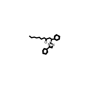 CCCCCCCC(=O)CC(c1ccccc1)n1ncc(-c2ccccc2)n1